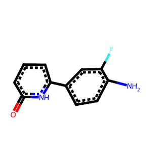 Nc1ccc(-c2cccc(=O)[nH]2)cc1F